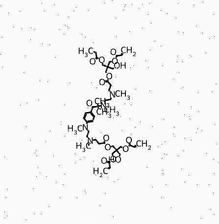 C=CC(=O)OCC(CO)(COC(=O)C=C)COC(=O)CCN(C)CCN(C)c1ccc(C(=O)C(C)(C)N(C)CCN(C)CCC(=O)OCC(CO)(COC(=O)C=C)COC(=O)CC)cc1